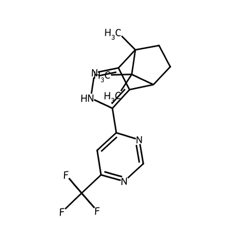 CC12CCC(c3c1n[nH]c3-c1cc(C(F)(F)F)ncn1)C2(C)C